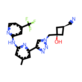 Cc1cc(Nc2cc(C(F)(F)F)ccn2)nc(-c2cn(C[C@]3(O)C[C@@H](C#N)C3)nn2)c1